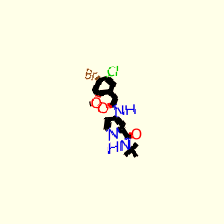 COc1cc(Br)c(Cl)cc1CC(=O)Nc1ccnc(C(=O)NC(C)(C)C)c1